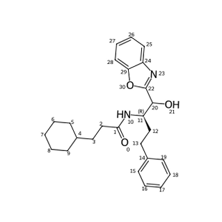 O=C(CCC1CCCCC1)N[C@H](CCc1ccccc1)C(O)c1nc2ccccc2o1